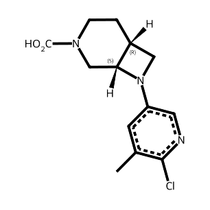 Cc1cc(N2C[C@H]3CCN(C(=O)O)C[C@H]32)cnc1Cl